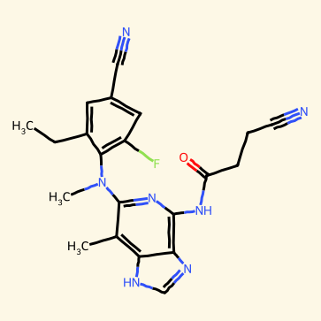 CCc1cc(C#N)cc(F)c1N(C)c1nc(NC(=O)CCC#N)c2nc[nH]c2c1C